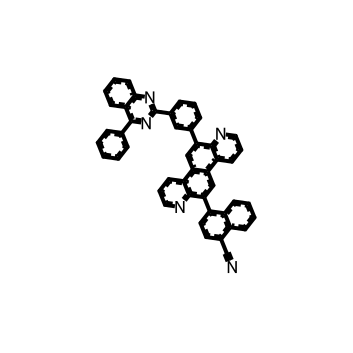 N#Cc1ccc(-c2cc3c4cccnc4c(-c4cccc(-c5nc(-c6ccccc6)c6ccccc6n5)c4)cc3c3cccnc23)c2ccccc12